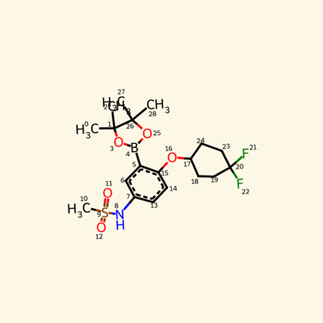 CC1(C)OB(c2cc(NS(C)(=O)=O)ccc2OC2CCC(F)(F)CC2)OC1(C)C